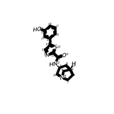 O=C(N[C@@H]1C[C@@H]2CCN(C2)C1)c1ncc(-c2cccc(O)c2)s1